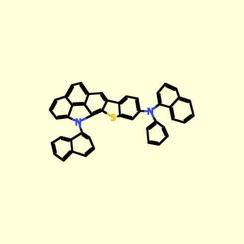 c1ccc(N(c2ccc3c(c2)sc2c3cc3ccc4cccc5c4c3c2n5-c2cccc3ccccc23)c2cccc3ccccc23)cc1